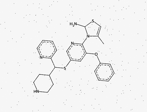 CC1=CSC(N)N1c1ncc(SC(c2ccccn2)C2CCNCC2)cc1Oc1ccccc1